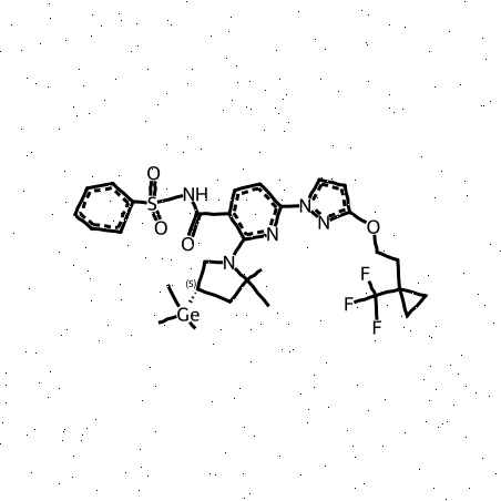 CC1(C)C[C@H]([Ge]([CH3])([CH3])[CH3])CN1c1nc(-n2ccc(OCCC3(C(F)(F)F)CC3)n2)ccc1C(=O)NS(=O)(=O)c1ccccc1